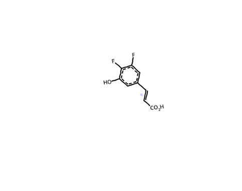 O=C(O)/C=C/c1cc(O)c(F)c(F)c1